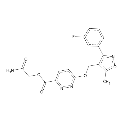 Cc1onc(-c2cccc(F)c2)c1COc1ccc(C(=O)OCC(N)=O)nn1